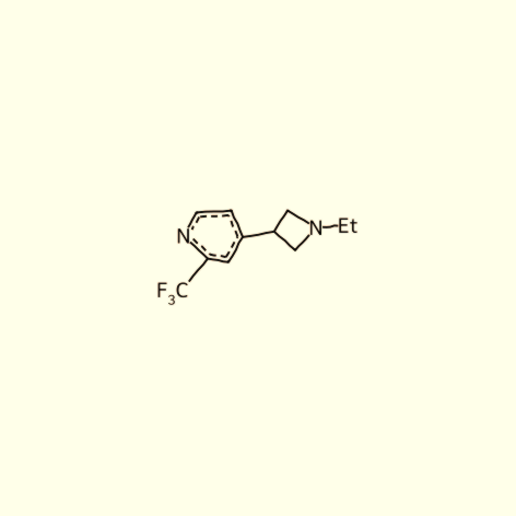 CCN1CC(c2ccnc(C(F)(F)F)c2)C1